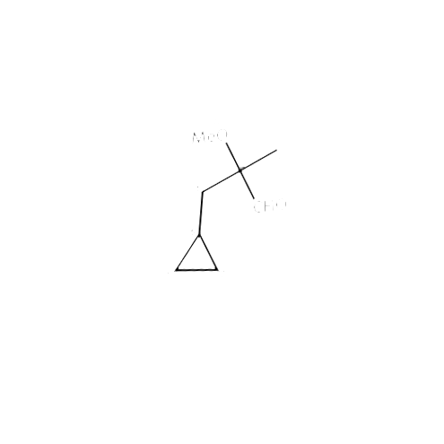 COC(C)(C=O)CC1CC1